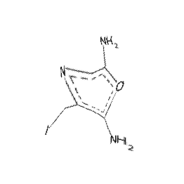 Nc1nc(I)c(N)o1